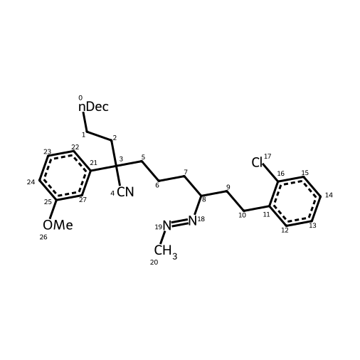 CCCCCCCCCCCCC(C#N)(CCCC(CCc1ccccc1Cl)/N=N/C)c1cccc(OC)c1